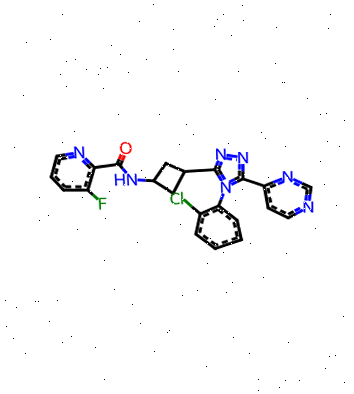 O=C(NC1CC(c2nnc(-c3ccncn3)n2-c2ccccc2Cl)C1)c1ncccc1F